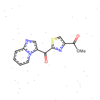 COC(=O)c1csc(C(=O)c2cnc3ccccn23)n1